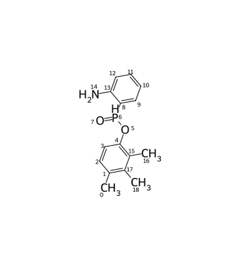 Cc1ccc(O[PH](=O)c2ccccc2N)c(C)c1C